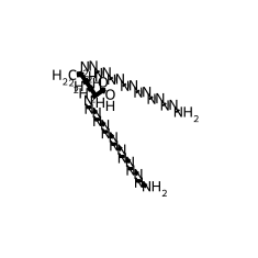 [2H]C([2H])(C(=C)\N=N/N=N/N=N/N=N/N=N/N=N/N=N/N)C([2H])([2H])C([2H])(\N=N/N=N/N=N/N=N/N=N/N=N/N=N/N)C(=O)O